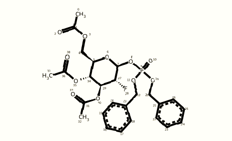 CC(=O)OC[C@H]1OC(OP(=O)(OCc2ccccc2)OCc2ccccc2)[C@H](F)[C@@H](OC(C)=O)[C@@H]1OC(C)=O